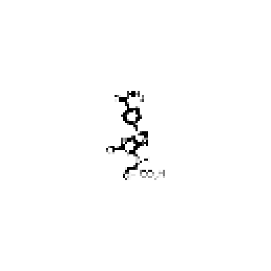 NC(=O)c1ccc(-n2cnc3c(N[C@@H](CO)C(=O)O)nc(Cl)nc32)cc1